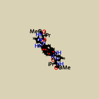 COC(=O)N[C@H](C(=O)N1C[C@H](C)CC1c1nc2cc(-c3cc4ccc3CCc3ccc(c(-c5ccc6[nH]c([C@@H]7C[C@@H](C)CN7C(=O)[C@@H](NC(=O)OC)C(C)C)nc6c5)c3)CC4)ccc2[nH]1)C(C)C